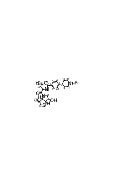 CCCN1CCC(c2ccc(C(=O)NC(CC(C)(C)C)C(=O)N3C[C@H](O)[C@H]4OCC(=O)[C@H]43)cc2)CC1